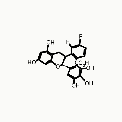 O=C(O)c1ccc(F)c(F)c1C1Cc2c(O)cc(O)cc2O[C@@H]1c1cc(O)c(O)c(O)c1